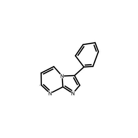 [c]1ccn2c(-c3ccccc3)cnc2n1